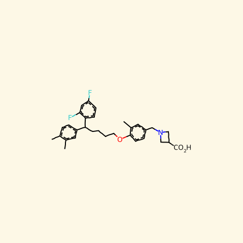 Cc1ccc(C(CCCCOc2ccc(CN3CC(C(=O)O)C3)cc2C)c2ccc(F)cc2F)cc1C